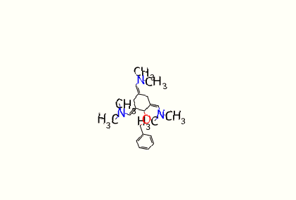 CN(C)/C=C1\C/C(=C/N(C)C)C(OCc2ccccc2)/C(=C/N(C)C)C1